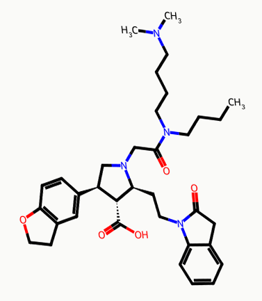 CCCCN(CCCCN(C)C)C(=O)CN1C[C@H](c2ccc3c(c2)CCO3)[C@@H](C(=O)O)[C@@H]1CCN1C(=O)Cc2ccccc21